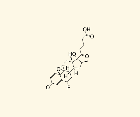 C[C@H]1C[C@H]2[C@@H]3C[C@H](F)C4=CC(=O)C=C[C@]4(C)[C@@]34O[C@H]4C[C@]2(C)[C@@]1(O)C(=O)CCCC(=O)O